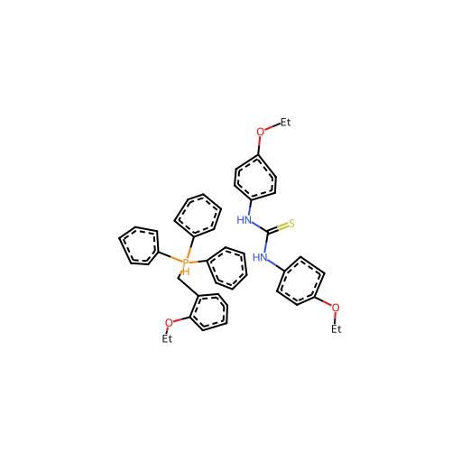 CCOc1ccc(NC(=S)Nc2ccc(OCC)cc2)cc1.CCOc1ccccc1C[PH](c1ccccc1)(c1ccccc1)c1ccccc1